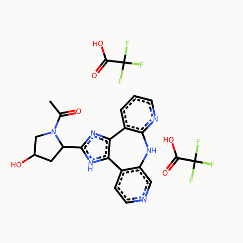 CC(=O)N1CC(O)CC1c1nc2c([nH]1)-c1ccncc1Nc1ncccc1-2.O=C(O)C(F)(F)F.O=C(O)C(F)(F)F